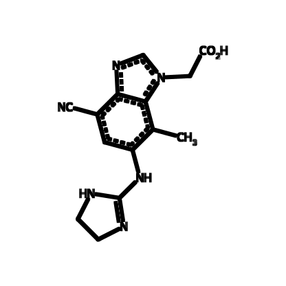 Cc1c(NC2=NCCN2)cc(C#N)c2ncn(CC(=O)O)c12